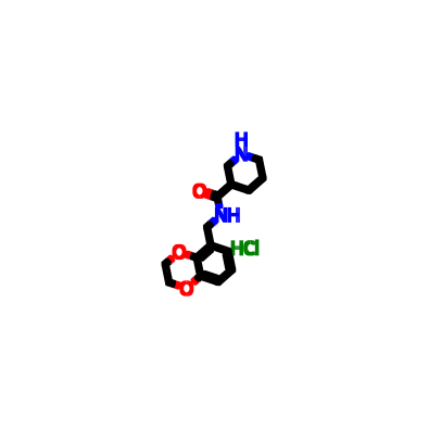 Cl.O=C(NCc1cccc2c1OCCO2)C1CCCNC1